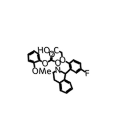 COc1ccccc1OC(=O)ON1CCc2ccccc2C1c1cc(F)ccc1OCC(=O)O